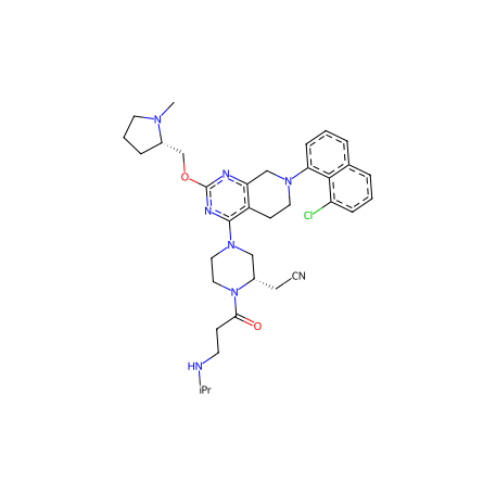 CC(C)NCCC(=O)N1CCN(c2nc(OC[C@@H]3CCCN3C)nc3c2CCN(c2cccc4cccc(Cl)c24)C3)C[C@@H]1CC#N